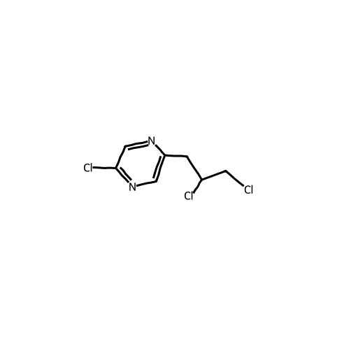 ClCC(Cl)Cc1cnc(Cl)cn1